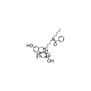 CCCCCN(CCCC[C@@H]1Cc2cc(O)ccc2[C@@H]2[C@@H]1[C@@H]1CCC(O)[C@@]1(C)C[C@@H]2F)C(=O)c1ccccc1